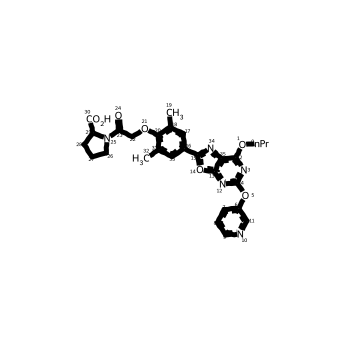 CCCOc1nc(Oc2cccnc2)nc2oc(-c3cc(C)c(OCC(=O)N4CCCC4C(=O)O)c(C)c3)nc12